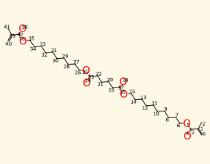 C=C(C)C(=O)OCCCCCCCCCCOC(=O)CCCCC(=O)OCCCCCCCCCCOC(=O)C(=C)C